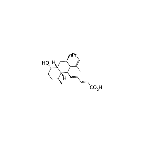 CCC/C=C(/C)[C@H]1[C@@H](/C=C/C=C/C(=O)O)[C@H]2[C@@H](C[C@H]1C)[C@@H](O)CC[C@@H]2C